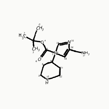 CC(C)(C)OC(=O)[N+]1(C2CCNCC2)C=NC(N)=C1